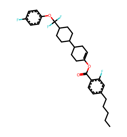 CCCCCc1ccc(C(=O)OC2=CCC(C3CCC(C(F)(F)Oc4ccc(F)cc4)CC3)CC2)c(F)c1